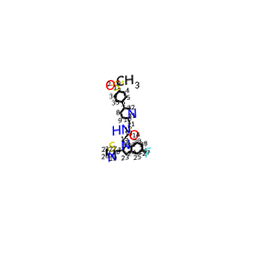 C[S+]([O-])c1ccc(-c2ccc(CNC(=O)Cn3c(-c4nccs4)cc4cc(F)ccc43)nc2)cc1